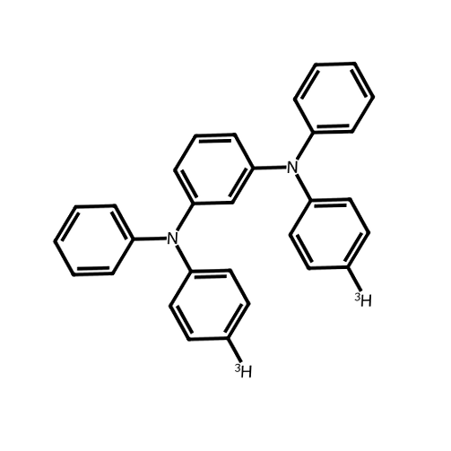 [3H]c1ccc(N(c2ccccc2)c2cccc(N(c3ccccc3)c3ccc([3H])cc3)c2)cc1